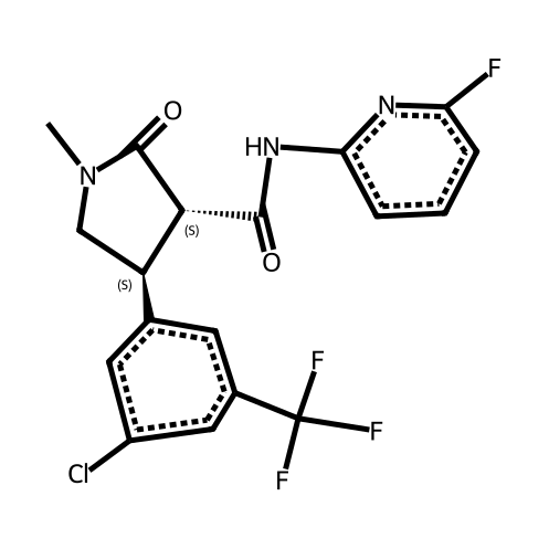 CN1C[C@H](c2cc(Cl)cc(C(F)(F)F)c2)[C@@H](C(=O)Nc2cccc(F)n2)C1=O